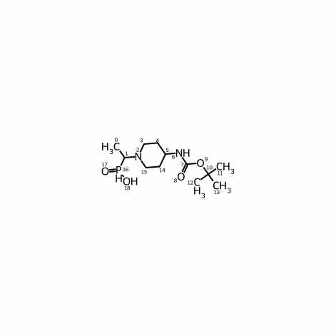 CC(N1CCC(NC(=O)OC(C)(C)C)CC1)[PH](=O)O